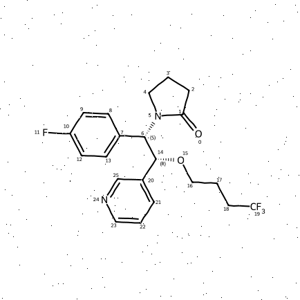 O=C1CCCN1[C@@H](c1ccc(F)cc1)[C@H](OCCCC(F)(F)F)c1cccnc1